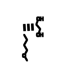 C=C.C=C.C=C.CCCCOC.OCCO